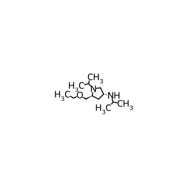 CCOC[C@@H]1C[C@@H](NC(C)C)CN1C(C)C